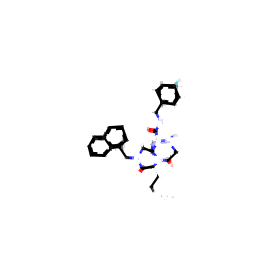 CSCC[C@H]1C(=O)N(Cc2cccc3ccccc23)C[C@H]2N1C(=O)CN(C)N2C(=O)NCc1ccc(F)cc1